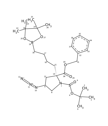 CC(C)(C)OC(=O)N1CC(N=[N+]=[N-])C[C@@]1(CCCCB1OC(C)(C)C(C)(C)O1)C(=O)OCc1ccccc1